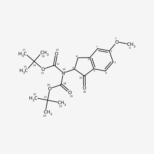 COc1ccc2c(c1)CC(N(C(=O)OC(C)(C)C)C(=O)OC(C)(C)C)C2=O